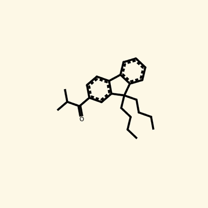 CCCCC1(CCCC)c2ccccc2-c2ccc(C(=O)C(C)C)cc21